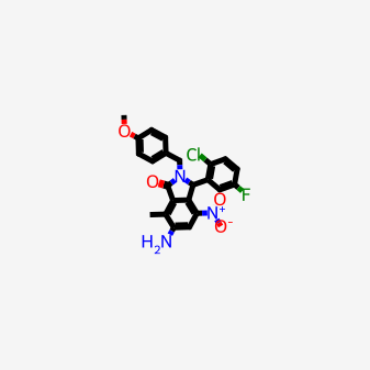 COc1ccc(CN2C(=O)c3c(C)c(N)cc([N+](=O)[O-])c3C2c2cc(F)ccc2Cl)cc1